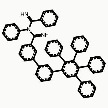 N=C(c1ccccc1)N(C(=N)c1cccc(-c2cccc(-c3cc(-c4ccccc4)c(-c4ccccc4)c(-c4ccccc4)c3-c3ccccc3)c2)c1)c1ccccc1